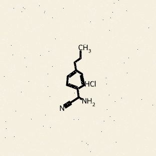 CCCc1ccc(C(N)C#N)cc1.Cl